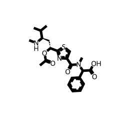 CN[C@H](C[C@@H](OC(C)=O)c1nc(C(=O)N(C)C(C(=O)O)c2ccccc2)cs1)C(C)C